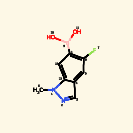 Cn1ncc2cc(F)c(B(O)O)cc21